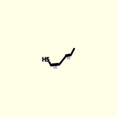 C/C=C/C=C\S